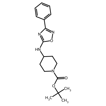 CC(C)(C)OC(=O)N1CCC(Nc2nc(-c3ccccc3)no2)CC1